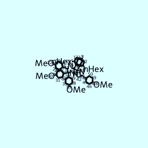 CCCCCCc1ccccc1C1(C2(c3ccccc3CCCCCC)N=C(c3ccc(OC)cc3)C(c3ccc(OC)cc3)(c3ccc(OC)cc3)N2)N=CC(c2ccc(OC)cc2)=N1